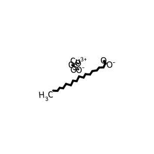 CCCCCCCCCCCCCCCCCC(=O)[O-].O=S(=O)([O-])[O-].[Cu+3]